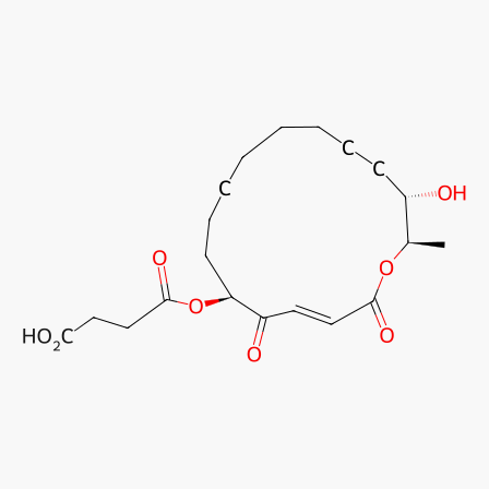 C[C@H]1OC(=O)/C=C/C(=O)[C@@H](OC(=O)CCC(=O)O)CCCCCCCC[C@@H]1O